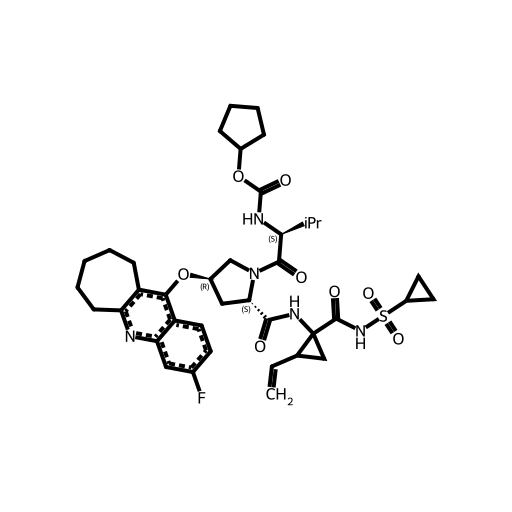 C=CC1CC1(NC(=O)[C@@H]1C[C@@H](Oc2c3c(nc4cc(F)ccc24)CCCCC3)CN1C(=O)[C@@H](NC(=O)OC1CCCC1)C(C)C)C(=O)NS(=O)(=O)C1CC1